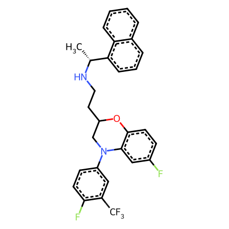 C[C@@H](NCCC1CN(c2ccc(F)c(C(F)(F)F)c2)c2cc(F)ccc2O1)c1cccc2ccccc12